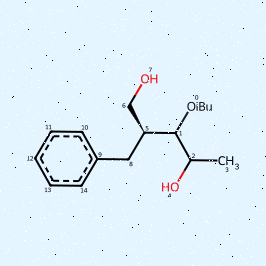 CC(C)COC(C(C)O)[C@H](CO)Cc1ccccc1